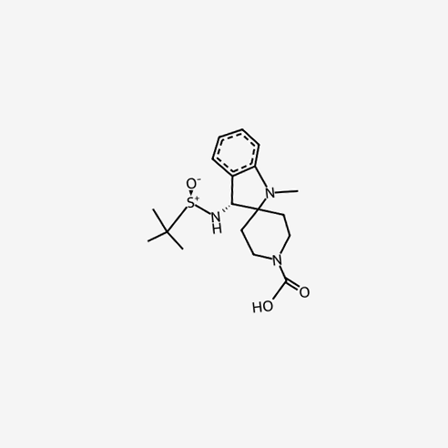 CN1c2ccccc2[C@@H](N[S@+]([O-])C(C)(C)C)C12CCN(C(=O)O)CC2